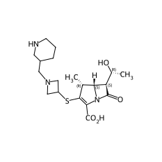 C[C@@H](O)[C@H]1C(=O)N2C(C(=O)O)=C(SC3CN(CC4CCCNC4)C3)[C@H](C)[C@H]12